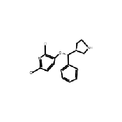 Clc1ccc(O[C@@H](c2ccccc2)[C@H]2CCNC2)c(Cl)n1